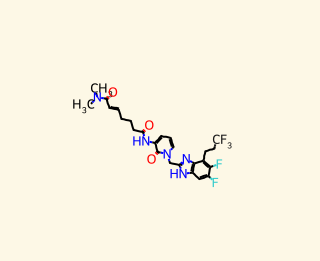 CN(C)C(=O)/C=C/CCCC(=O)Nc1cccn(Cc2nc3c(CCC(F)(F)F)c(F)c(F)cc3[nH]2)c1=O